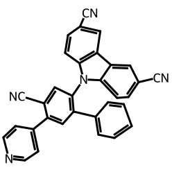 N#Cc1ccc2c(c1)c1cc(C#N)ccc1n2-c1cc(C#N)c(-c2ccncc2)cc1-c1ccccc1